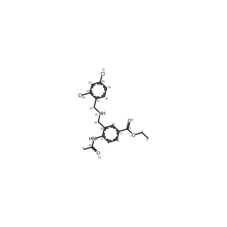 CCOC(=O)c1ccc(NC(C)=O)c(CNCc2ccc(Cl)cc2Cl)c1